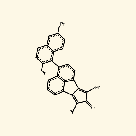 CC(C)C1=C2C(=C(C(C)C)C1=O)c1ccc(-c3c(C(C)C)ccc4cc(C(C)C)ccc34)c3cccc2c13